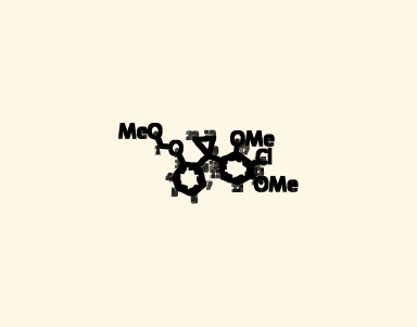 COCOc1ccccc1C1(c2ccc(OC)c(Cl)c2OC)CC1